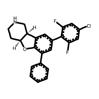 Fc1cc(Cl)cc(F)c1-c1cc(-c2ccccc2)c2c(c1)[C@@H]1CNCC[C@@H]1O2